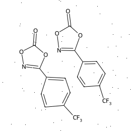 O=c1onc(-c2ccc(C(F)(F)F)cc2)o1.O=c1onc(-c2ccc(C(F)(F)F)cc2)o1